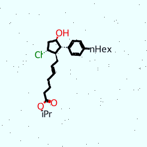 CCCCCCc1ccc([C@@H]2[C@@H](CC=CCCCC(=O)OC(C)C)[C@H](Cl)C[C@H]2O)cc1